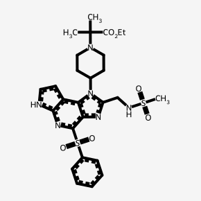 CCOC(=O)C(C)(C)N1CCC(n2c(CNS(C)(=O)=O)nc3c(S(=O)(=O)c4ccccc4)nc4[nH]ccc4c32)CC1